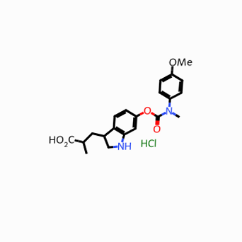 COc1ccc(N(C)C(=O)Oc2ccc3c(c2)NCC3CC(C)C(=O)O)cc1.Cl